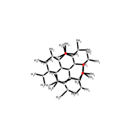 PPP(P)P(P(P(P)P)P(P)P)P(P(P(P)P)P(P)P)P(P(P(P(P)P)P(P)P)P(P(P)P)P(P)P)P(P(P(P)P)P(P)P)P(P(P)P)P(P)P